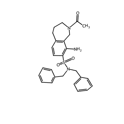 CC(=O)N1CCCc2ccc(S(=O)(=O)N(Cc3ccccc3)Cc3ccccc3)c(N)c2C1